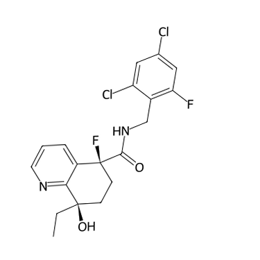 CC[C@@]1(O)CC[C@@](F)(C(=O)NCc2c(F)cc(Cl)cc2Cl)c2cccnc21